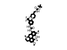 COc1cc(NC(=O)Nc2ccc(N3CCC(CNC(=O)OC(C)(C)C)CC3)c(C(F)(F)F)c2)c2c(c1O)-c1c(OC)c(OC)cc3c1C(C2)N(C)CC3